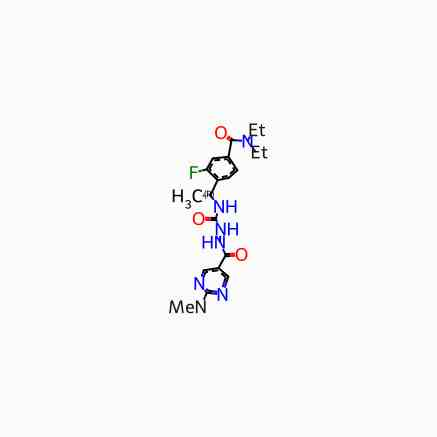 CCN(CC)C(=O)c1ccc([C@@H](C)NC(=O)NNC(=O)c2cnc(NC)nc2)c(F)c1